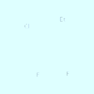 CCc1cc(F)c(F)cc1Cl